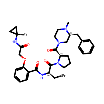 CCC1(NC(=O)COc2ccccc2C(=O)N[C@H](CC(C)C)C(=O)N2CCC[C@@H]2C(=O)N2CCN(C)[C@@H](Cc3ccccc3)C2)CC1